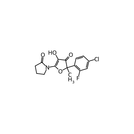 CC1(c2ccc(Cl)cc2F)OC(N2CCCC2=O)=C(O)C1=O